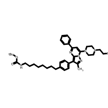 Cc1nn2c(N3CCN(CCO)CC3)cc(-c3ccccc3)nc2c1-c1ccc(CCCCCCCCNC(=O)OC(C)(C)C)cc1